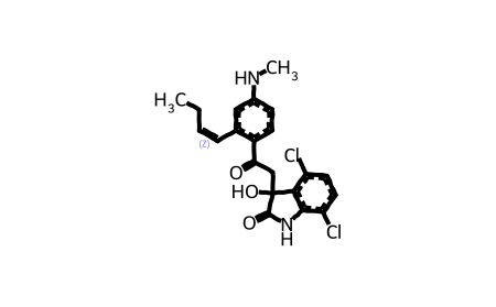 CC/C=C\c1cc(NC)ccc1C(=O)CC1(O)C(=O)Nc2c(Cl)ccc(Cl)c21